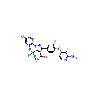 NC(=O)c1c(-c2ccc(Oc3ccnc(N)c3Cl)c(F)c2)nn(-c2ncc(O)cn2)c1C(F)(F)F